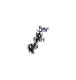 C=N/C=C(F)\C=C(/C)c1ccc(NC(=O)CCC(=O)N2CCCn3nc(C)cc32)cn1